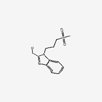 CS(=O)(=O)CCCn1c(CCl)nc2ccccc21